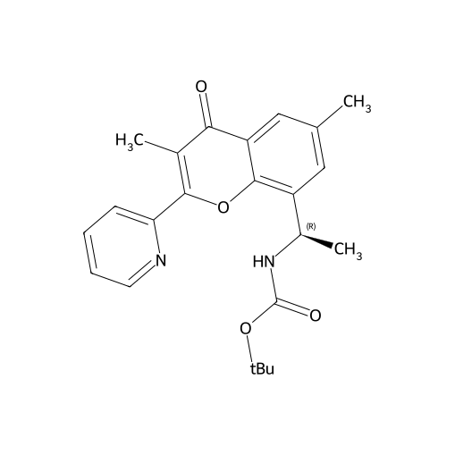 Cc1cc([C@@H](C)NC(=O)OC(C)(C)C)c2oc(-c3ccccn3)c(C)c(=O)c2c1